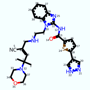 CC(C)(C=C(C#N)CNCCn1c(NC(=O)c2ccc(-c3cn[nH]c3)s2)nc2ccccc21)N1CCOCC1